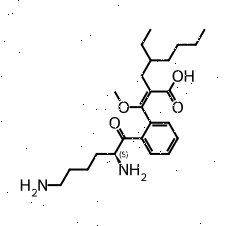 CCCCC(CC)CC(C(=O)O)=C(OC)c1ccccc1C(=O)[C@@H](N)CCCCN